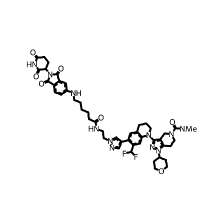 CNC(=O)N1CCc2c(c(N3CCCc4cc(-c5cnn(CCNC(=O)CCCCCNc6ccc7c(c6)C(=O)N(C6CCC(=O)NC6=O)C7=O)c5)c(C(F)F)cc43)nn2C2CCOCC2)C1